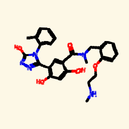 CNCCOc1ccccc1CN(C)C(=O)c1cc(-c2nnc(O)n2-c2ccccc2C)c(O)cc1O